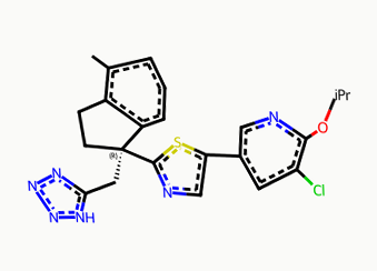 Cc1cccc2c1CC[C@]2(Cc1nnn[nH]1)c1ncc(-c2cnc(OC(C)C)c(Cl)c2)s1